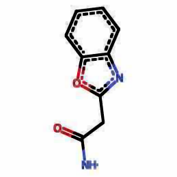 [NH]C(=O)Cc1nc2ccccc2o1